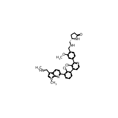 CNCc1cn(C)c2nc(-c3cccc(-c4ccnc(-c5ccc(CNC[C@@H]6CCC(=O)N6)c(OC)c5)c4Cl)c3Cl)ccc12